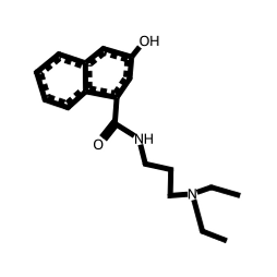 CCN(CC)CCCNC(=O)c1cc(O)cc2ccccc12